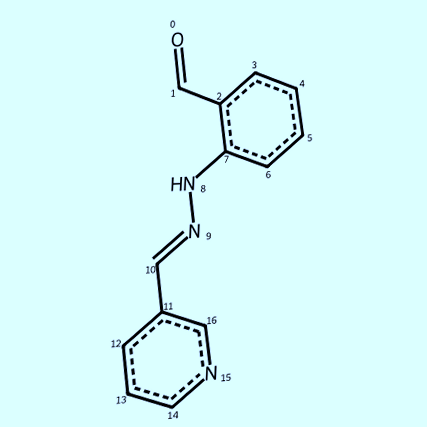 O=Cc1ccccc1N/N=C/c1cccnc1